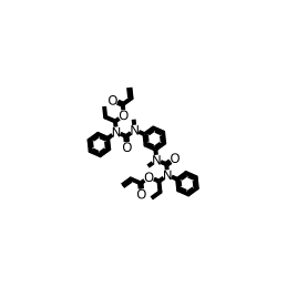 C=CC(=O)OC(CC)N(C(=O)N(C)c1cccc(N(C)C(=O)N(c2ccccc2)C(CC)OC(=O)C=C)c1)c1ccccc1